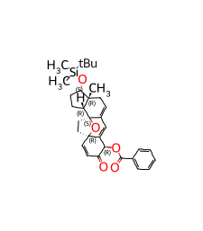 CC(C)(C)[Si](C)(C)O[C@H]1CC[C@@H]2[C@@]1(C)CC=C1C=C3[C@@H](OC(=O)c4ccccc4)C(=O)C=C[C@]34CC[C@@]12O4